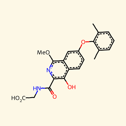 COc1nc(C(=O)NCC(=O)O)c(O)c2ccc(Oc3c(C)cccc3C)cc12